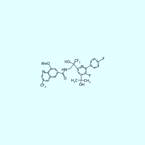 COc1cc(C(=O)NC[C@](O)(c2cc(C(C)(C)O)c(F)c(-c3ccc(F)cc3)n2)C(F)(F)F)cc2cc(C(F)(F)F)cnc12